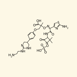 CC(COc1ccc(C2CN=C(NCCN)NC2)cc1)(ON=C(C(=O)NC1C(=O)N(OS(=O)(=O)O)C1(C)C)c1csc(N)n1)C(=O)O